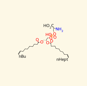 CCCC/C=C\CCCCCCCC(=O)OC[C@H](COP(=O)(O)OC[C@H](N)C(=O)O)OC(=O)CCCCCCC/C=C\CCCCCCC